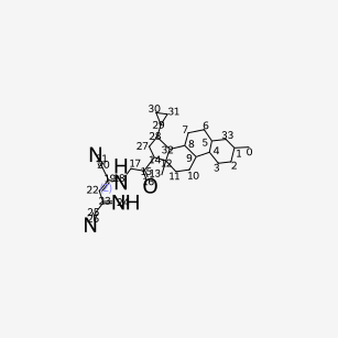 CC1CCC2C(CCC3C2CCC2(C)C(C(=O)CN/C(C#N)=C\C(=N)C#N)CC(C4CC4)C32)C1